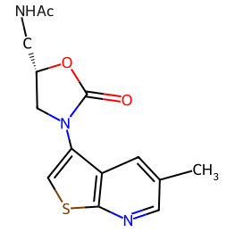 CC(=O)NC[C@H]1CN(c2csc3ncc(C)cc23)C(=O)O1